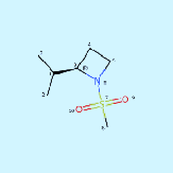 CC(C)[C@H]1CCN1S(C)(=O)=O